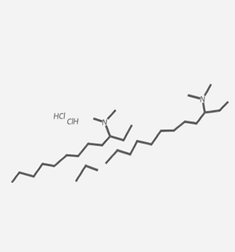 CCC.CCCCCCCCCC(CC)N(C)C.CCCCCCCCCC(CC)N(C)C.Cl.Cl